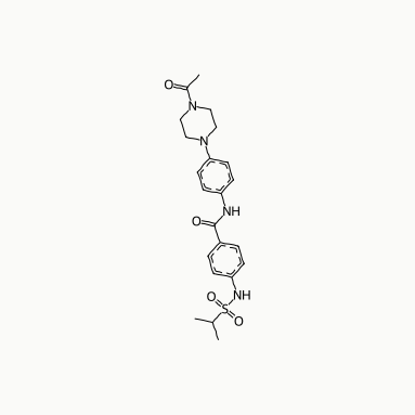 CC(=O)N1CCN(c2ccc(NC(=O)c3ccc(NS(=O)(=O)C(C)C)cc3)cc2)CC1